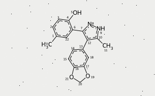 Cc1ccc(O)c(-c2n[nH]c(C)c2-c2ccc3c(c2)OCO3)c1